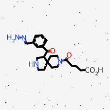 NN=Cc1cccc(C(=O)C2CNCCC23CCN(C(=O)CCCC(=O)O)CC3)c1